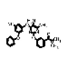 CN(C)C(=O)c1cccc(Oc2nc(N)c(N)c(Oc3cc(C#N)cc(Oc4ccccc4)c3)n2)c1